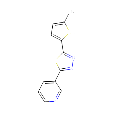 N#Cc1ccc(-c2nnc(-c3cccnc3)s2)s1